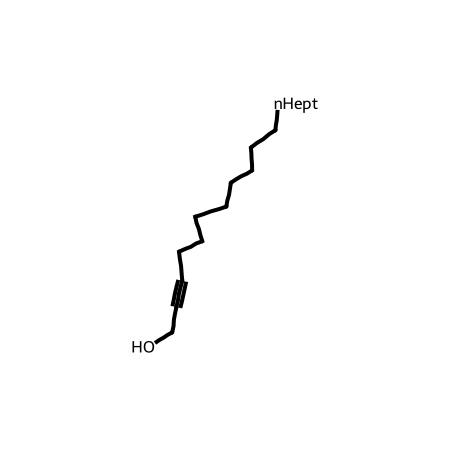 CCCCCCCCCCCCCCCC#CCO